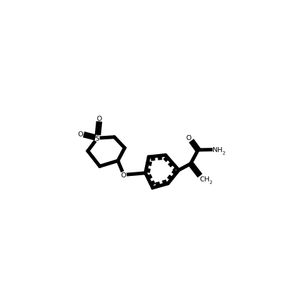 C=C(C(N)=O)c1ccc(OC2CCS(=O)(=O)CC2)cc1